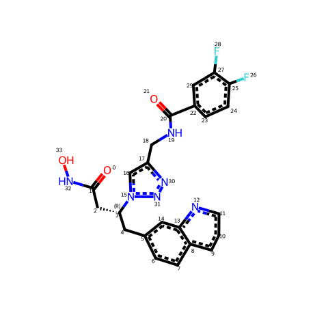 O=C(C[C@@H](Cc1ccc2cccnc2c1)n1cc(CNC(=O)c2ccc(F)c(F)c2)nn1)NO